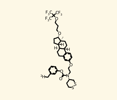 [2H]Cc1cccc(OC(=O)N(CCOc2ccc3c(c2)CC[C@@H]2[C@@H]3CC[C@]3(C)[C@@H](OCCCOC(C(F)(F)F)(C(F)(F)F)C(F)(F)F)CC[C@@H]23)[C@H]2CCSSC2)c1